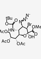 COC(=O)[C@@]1(O)O[C@@H]([C@H](OC(C)=O)[C@@H](COC(C)=O)OC(C)=O)[C@H](NC(=O)OC(C)(C)C)[C@@H](N=[N+]=[N-])[C@H]1Br